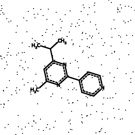 Cc1cc(C(C)C)nc(-c2ccncc2)n1